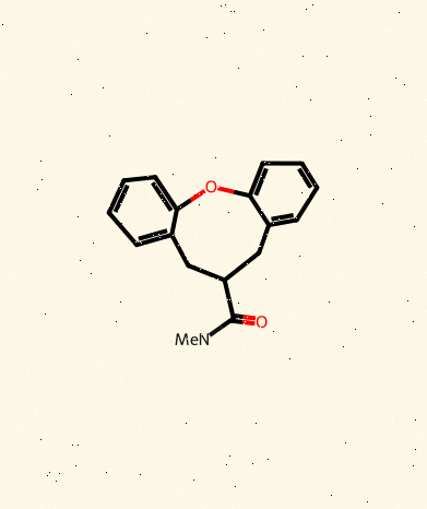 CNC(=O)C1Cc2ccccc2Oc2ccccc2C1